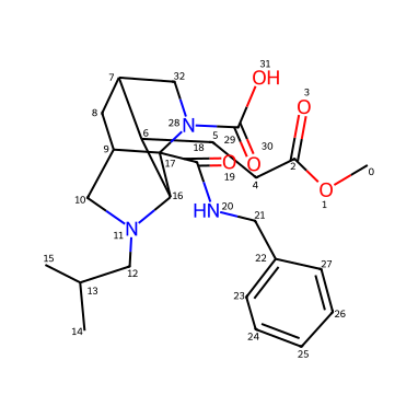 COC(=O)CCC1C2CC3CN(CC(C)C)C1C3(C(=O)NCc1ccccc1)N(C(=O)O)C2